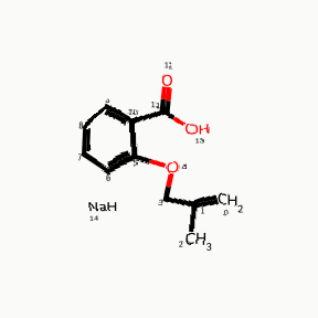 C=C(C)COc1ccccc1C(=O)O.[NaH]